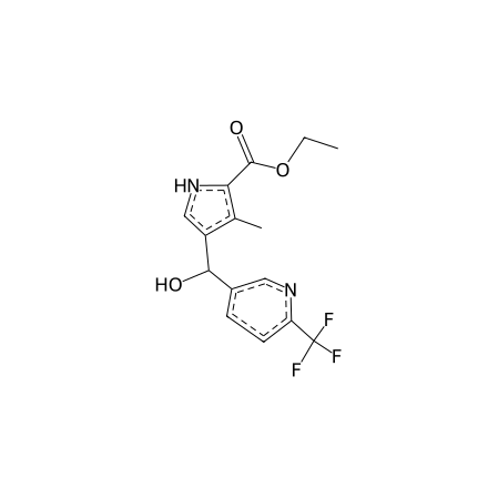 CCOC(=O)c1[nH]cc(C(O)c2ccc(C(F)(F)F)nc2)c1C